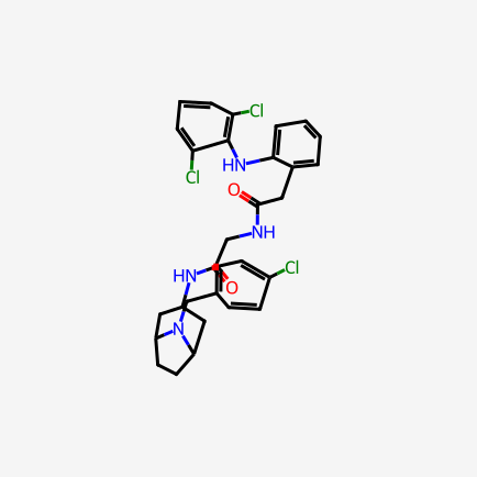 O=C(Cc1ccccc1Nc1c(Cl)cccc1Cl)NCC(=O)NC1CC2CCC(C1)N2Cc1ccc(Cl)cc1